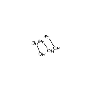 CC(C)O.CC(C)O.CCC(C)O